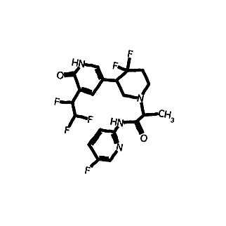 CC(C(=O)Nc1ccc(F)cn1)N1CCC(F)(F)C(c2c[nH]c(=O)c(C(F)C(F)F)c2)C1